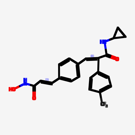 O=C(/C=C/c1ccc(/C=C(/C(=O)NC2CC2)c2ccc(C(F)(F)F)cc2)cc1)NO